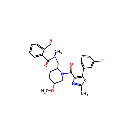 COC1CCC(CN(C)C(=O)c2ccccc2C=O)N(C(=O)c2nc(C)sc2-c2cccc(F)c2)C1